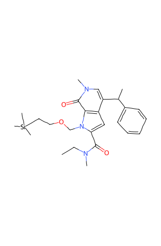 CCN(C)C(=O)c1cc2c(C(C)c3ccccc3)cn(C)c(=O)c2n1COCC[Si](C)(C)C